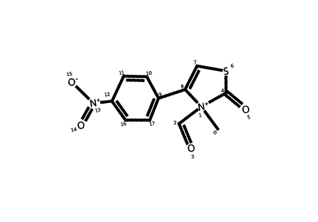 C[N+]1(C=O)C(=O)SC=C1c1ccc([N+](=O)[O-])cc1